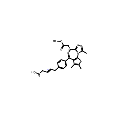 Cc1sc2c(c1C)C(c1ccc(C/C=C/CNO)cc1)=N[C@@H](CC(=O)OC(C)(C)C)c1nnc(C)n1-2